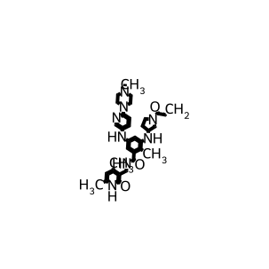 C=CC(=O)N1CCC(Nc2cc(Nc3ccc(N4CCN(C)CC4)nc3)cc(C(=O)NCc3c(C)cc(C)[nH]c3=O)c2C)C1